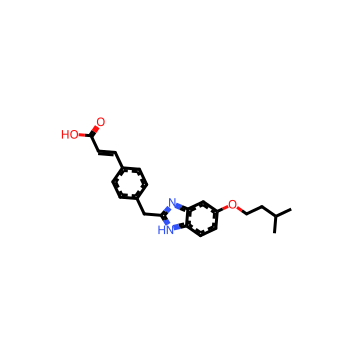 CC(C)CCOc1ccc2[nH]c(Cc3ccc(/C=C/C(=O)O)cc3)nc2c1